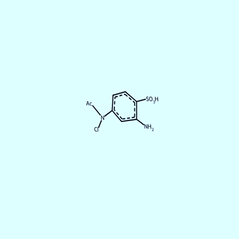 CC(=O)N(Cl)c1ccc(S(=O)(=O)O)c(N)c1